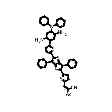 CC(=O)/C(C#N)=C/c1ccc(-c2sc3c(-c4ccccc4)c(-c4ccc(-c5cc(N)c(N(c6ccccc6)c6ccccc6)cc5N)s4)sc3c2-c2ccccc2)s1